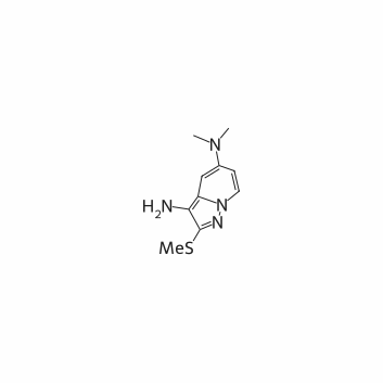 CSc1nn2ccc(N(C)C)cc2c1N